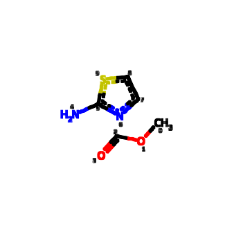 COC=O.Nc1nccs1